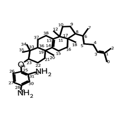 CC(C)=CCCC(C)C1CCC2(C)C3=C(CCC12C)C1(C)CCC(Oc2ccc(N)cc2N)C(C)(C)C1CC3